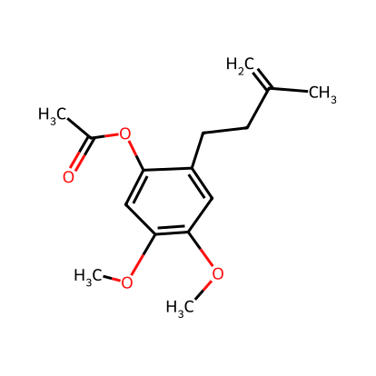 C=C(C)CCc1cc(OC)c(OC)cc1OC(C)=O